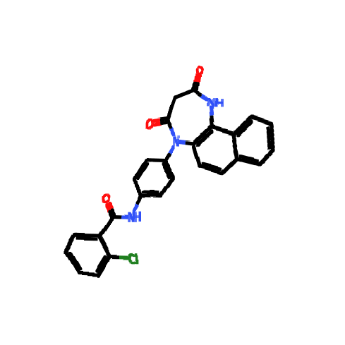 O=C1CC(=O)N(c2ccc(NC(=O)c3ccccc3Cl)cc2)c2ccc3ccccc3c2N1